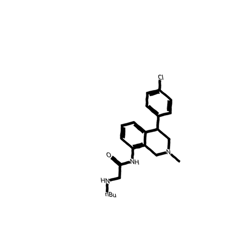 CCCCNCC(=O)Nc1cccc2c1CN(C)CC2c1ccc(Cl)cc1